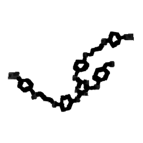 O=Cc1ccc(Oc2nc(Oc3ccc(OCCCOc4ccc(O)cc4)cc3)nc(Oc3ccc(OCCCOc4ccc(O)cc4)cc3)n2)cc1